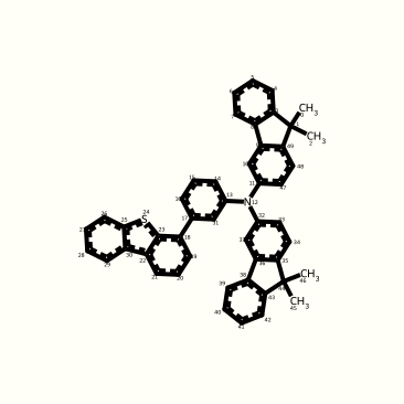 CC1(C)c2ccccc2-c2cc(N(c3cccc(-c4cccc5c4sc4ccccc45)c3)c3ccc4c(c3)-c3ccccc3C4(C)C)ccc21